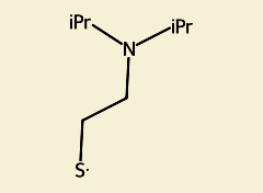 CC(C)N(CC[S])C(C)C